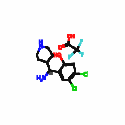 N[C@H](c1cc(Cl)c(Cl)cc1O)C1CCNCC1.O=C(O)C(F)(F)F